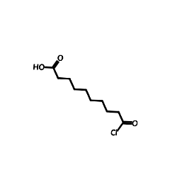 O=C(O)CCCCCCCCC(=O)Cl